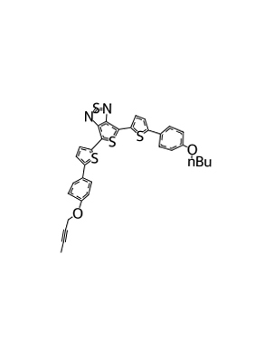 CC#CCOc1ccc(-c2ccc(-c3sc(-c4ccc(-c5ccc(OCCCC)cc5)s4)c4c3N=S=N4)s2)cc1